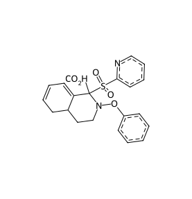 O=C(O)C1(S(=O)(=O)c2ccccn2)C2=CC=CCC2CCN1Oc1ccccc1